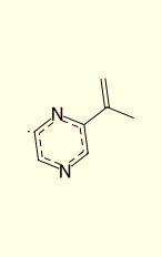 C=C(C)c1cnc[c]n1